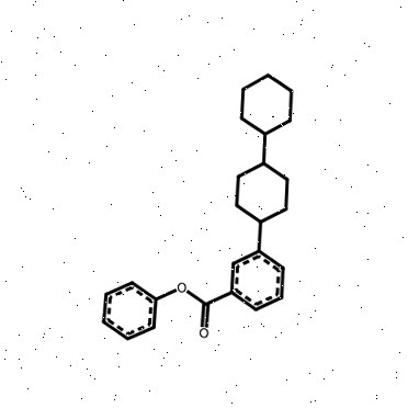 O=C(Oc1ccccc1)c1cccc(C2CCC(C3CCCCC3)CC2)c1